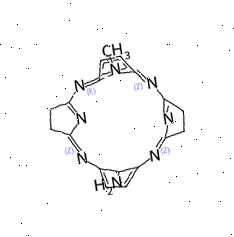 Cn1/c2cc/c1=N\C1=NC(=N\C3=CC=C(/N=C4/CCC(=N4)/N=2)C3N)/CC1